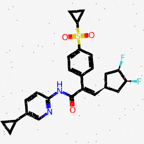 O=C(Nc1ccc(C2CC2)cn1)/C(=C/[C@H]1C[C@@H](F)[C@@H](F)C1)c1ccc(S(=O)(=O)C2CC2)cc1